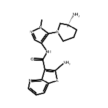 Cn1ncc(NC(=O)c2c(N)sc3cccnc23)c1N1CCC[C@@H](N)C1